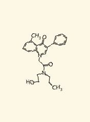 CCCN(CCO)C(=O)Cn1cc(-c2ccccc2)c(=O)c2c(C)cccc21